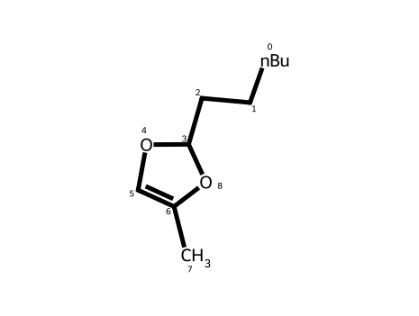 CCCCCCC1OC=C(C)O1